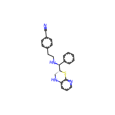 N#Cc1ccc(CCN[C@@H](c2ccccc2)[C@H]2CNc3cccnc3S2)cc1